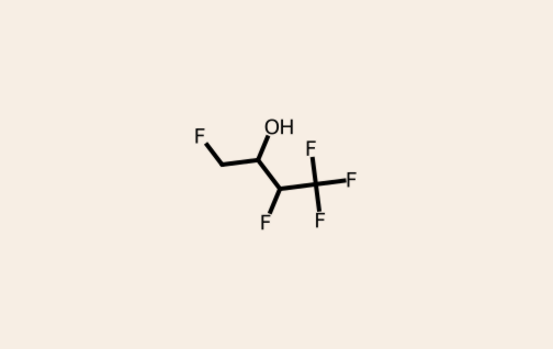 OC(CF)C(F)C(F)(F)F